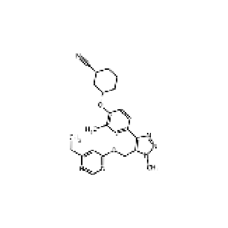 CCc1cc(OCc2c(-c3ccc(O[C@H]4CCC[C@H](C#N)C4)c(C)n3)nnn2C)ncn1